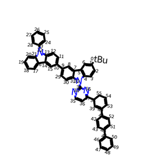 CC(C)(C)c1ccc2c(c1)c1cc(-c3ccc4c(c3)c3ccccc3n4-c3ccccc3)ccc1n2-c1nccc(C2C=C(c3ccc(-c4ccccc4)cc3)C=CC2)n1